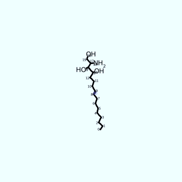 CCCCCCCC/C=C/CCCC(O)C(O)C(N)CO